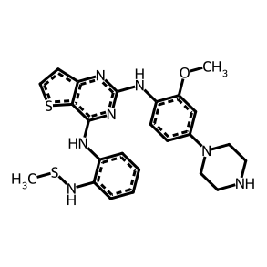 COc1cc(N2CCNCC2)ccc1Nc1nc(Nc2ccccc2NSC)c2sccc2n1